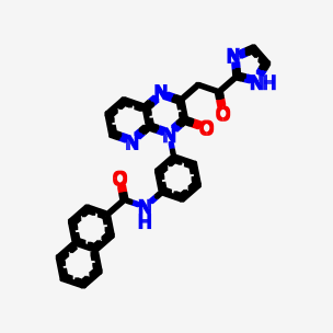 O=C(Nc1cccc(-n2c(=O)c(CC(=O)c3ncc[nH]3)nc3cccnc32)c1)c1ccc2ccccc2c1